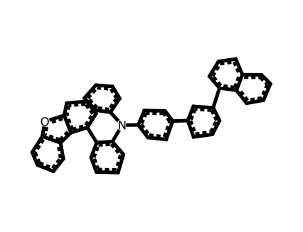 c1ccc(N(c2ccc(-c3cccc(-c4cccc5ccccc45)c3)cc2)c2ccccc2-c2cccc3oc4ccccc4c23)cc1